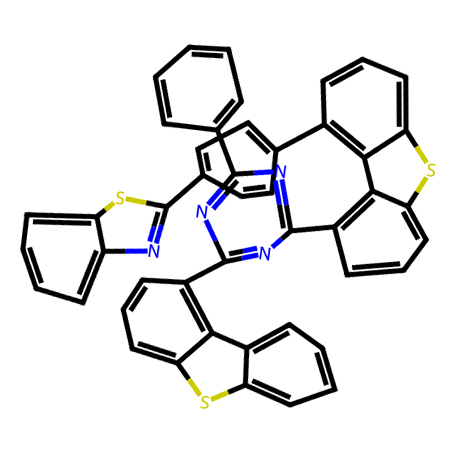 c1ccc(-c2nc(-c3cccc4sc5ccccc5c34)nc(-c3cccc4sc5cccc(-c6ccc(-c7nc8ccccc8s7)cc6)c5c34)n2)cc1